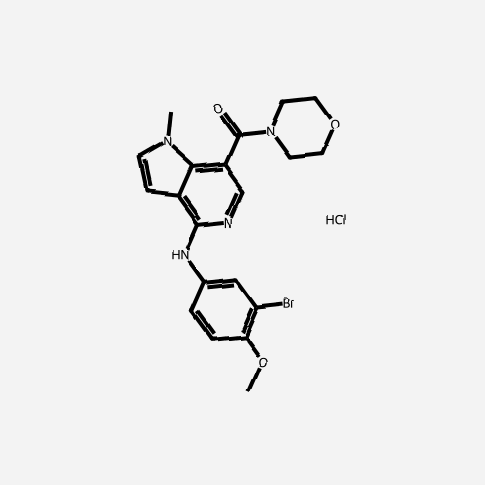 COc1ccc(Nc2ncc(C(=O)N3CCOCC3)c3c2ccn3C)cc1Br.Cl